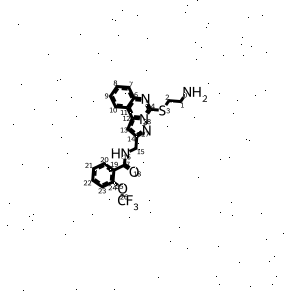 NCCSc1nc2ccccc2c2cc(CNC(=O)c3ccccc3OC(F)(F)F)nn12